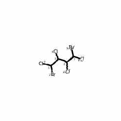 ClC(Br)C(Cl)C(Cl)C(Cl)Br